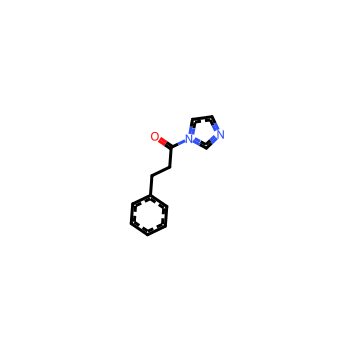 O=C(CCc1ccccc1)n1ccnc1